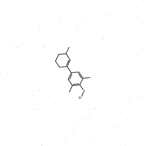 CCOc1c(C)cc(C2=CC(C)CCC2)cc1C